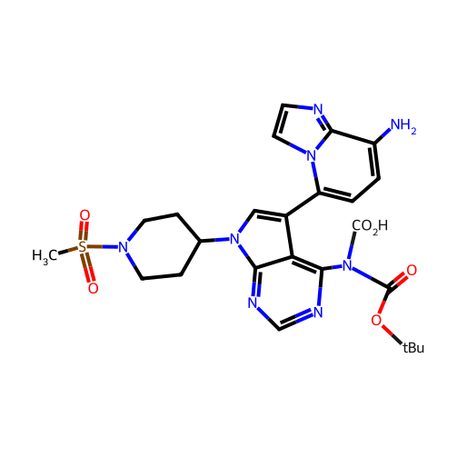 CC(C)(C)OC(=O)N(C(=O)O)c1ncnc2c1c(-c1ccc(N)c3nccn13)cn2C1CCN(S(C)(=O)=O)CC1